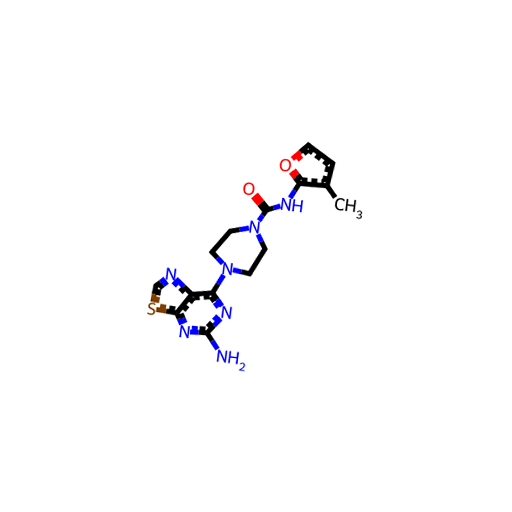 Cc1ccoc1NC(=O)N1CCN(c2nc(N)nc3scnc23)CC1